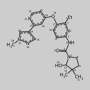 CCc1nc(NC(=O)N2CCC(C)(C)C2O)ccc1Oc1ccnc(-c2cnn(C)c2)c1